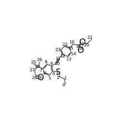 CCCSc1cc2c(cc1C#Cc1ccc(CC(=O)OCC)cc1)C(C)(C)CCO2